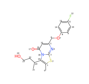 Cc1sc2nc(COc3ccc(F)cc3)cc(=O)n2c1C(C)CCO